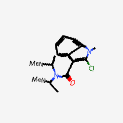 CNC(C)N(C(=O)c1c(Cl)n(C)c2ccccc12)C(C)NC